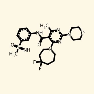 Cc1nc(N2CCOCC2)nc(N2CCCC(F)(F)CC2)c1C(=O)Nc1cccc(S(C)(=N)=O)c1